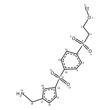 CCOCCS(=O)(=O)c1ccc(S(=O)(=O)c2ccc(CN)s2)cc1